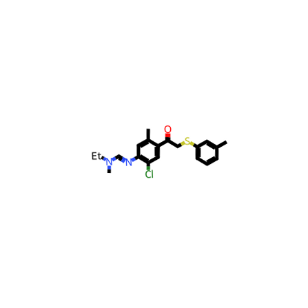 CCN(C)C=Nc1cc(C)c(C(=O)CSc2cccc(C)c2)cc1Cl